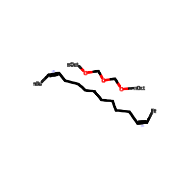 CC/C=C\CCCCCCCC/C=C\CCCC.CCCCCCCCOCOCOCCCCCCCC